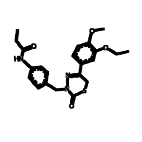 CCOc1cc(C2=NN(Cc3ccc(NC(=O)CC)cc3)C(=O)SC2)ccc1OC